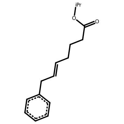 CC(C)OC(=O)CCCC=CCc1ccccc1